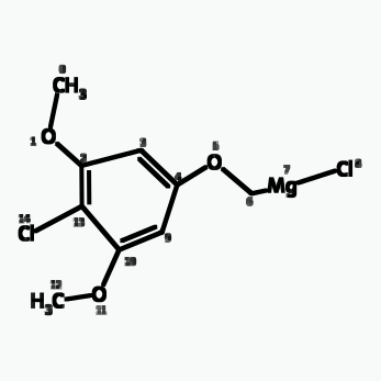 COc1cc(O[CH2][Mg][Cl])cc(OC)c1Cl